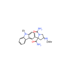 CCn1c2ccccc2c2cc(C3(C(N)=O)C/C(=N\OC)CN3C(N)=O)ccc21